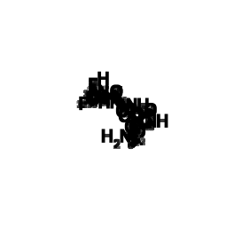 CC(C)C(N)C(=O)OCC(=O)C(CC1CCCNC1=O)NC(=O)CNC(=O)c1cc2cc(F)cc(F)c2[nH]1